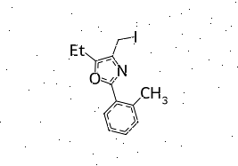 CCc1oc(-c2ccccc2C)nc1CI